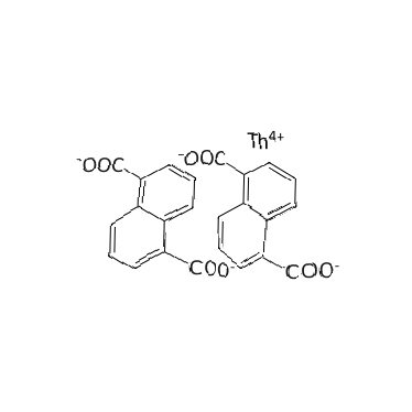 O=C([O-])c1cccc2c(C(=O)[O-])cccc12.O=C([O-])c1cccc2c(C(=O)[O-])cccc12.[Th+4]